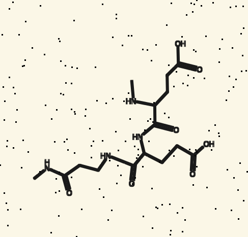 CNC(=O)CCNC(=O)C(CCC(=O)O)NC(=O)C(CCC(=O)O)NC